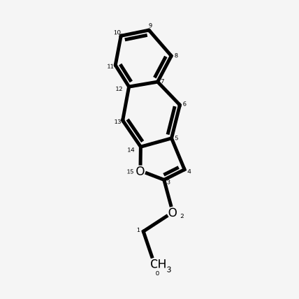 CCOc1cc2cc3ccccc3cc2o1